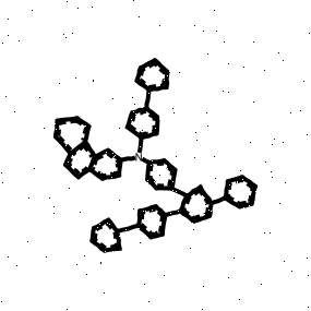 c1ccc(-c2ccc(-c3ccc(-c4ccccc4)cc3-c3ccc(N(c4ccc(-c5ccccc5)cc4)c4ccc5ccc6ccccc6c5c4)cc3)cc2)cc1